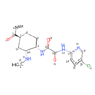 CNC(=O)[C@H]1CC[C@H](NC(=O)C(=O)Nc2ccc(Cl)cn2)[C@H](NC(=O)O)C1